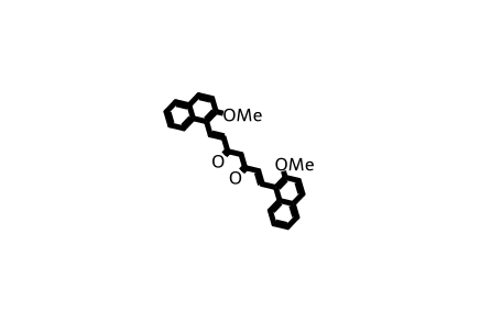 COc1ccc2ccccc2c1/C=C/C(=O)CC(=O)/C=C/c1c(OC)ccc2ccccc12